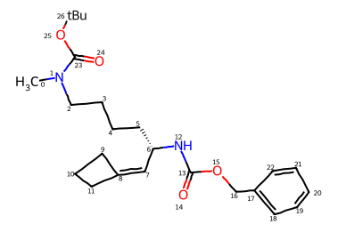 CN(CCCC[C@@H](C=C1CCC1)NC(=O)OCc1ccccc1)C(=O)OC(C)(C)C